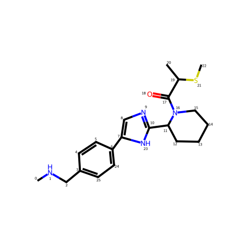 CNCc1ccc(-c2cnc(C3CCCCN3C(=O)C(C)SC)[nH]2)cc1